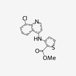 COC(=O)c1sccc1Nc1ccnc2c(Cl)cccc12